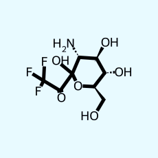 N[C@@H]1[C@@H](O)[C@H](O)[C@@H](CO)OC1(O)C(=O)C(F)(F)F